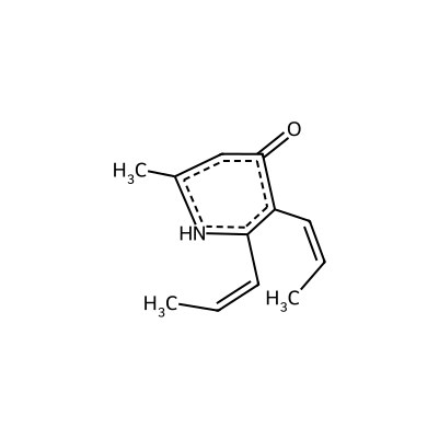 C/C=C\c1[nH]c(C)cc(=O)c1/C=C\C